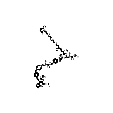 CCCCc1nc2c(N)nc3ccsc3c2n1Cc1ccc(CN2CCN(CCNC(=O)OCc3ccc(NC(=O)[C@H](CCCNC(N)=O)NC(=O)[C@@H](CCC(=O)CCOCCOCCOCCN4C(=O)C=CC4=O)C(C)C)cc3)CC2)cc1